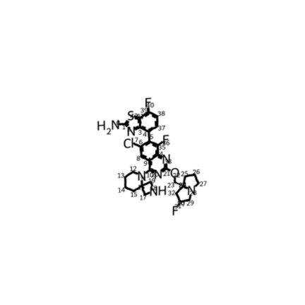 Nc1nc2c(-c3c(Cl)cc4c(N5CCCCC56CNC6)nc(OC[C@@]56CCCN5C[C@H](F)C6)nc4c3F)ccc(F)c2s1